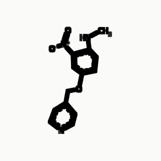 CNc1ccc(OCc2ccncc2)cc1[N+](=O)[O-]